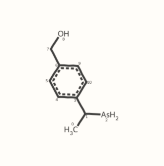 CC([AsH2])c1ccc(CO)cc1